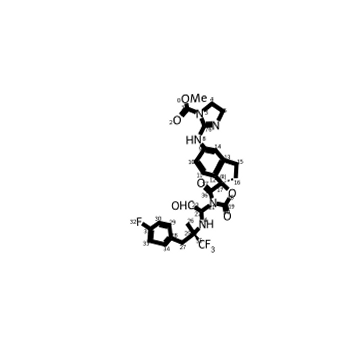 COC(=O)N1CCN=C1Nc1ccc2c(c1)CC[C@@]21OC(=O)N(C(C=O)N[C@@](C)(Cc2ccc(F)cc2)C(F)(F)F)C1=O